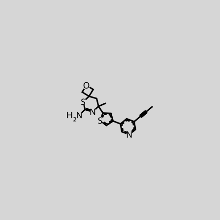 CC#Cc1cncc(-c2csc(C3(C)CC4(COC4)SC(N)=N3)c2)c1